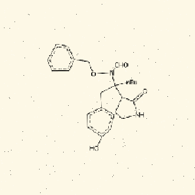 CCCCC(Cc1ccc(O)cc1)(C1CCNC1=O)N(C=O)OCc1ccccc1